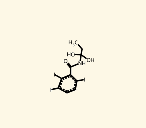 CCC(O)(O)NC(=O)c1c(I)[c]cc(I)c1I